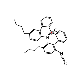 CCCCc1ccc(N=C=O)c(-c2ccccc2Sc2ccccc2-c2cc(CCCC)ccc2N=C=O)c1